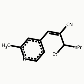 CCCC(CC)/C(C#N)=C\c1ccnc(C)c1